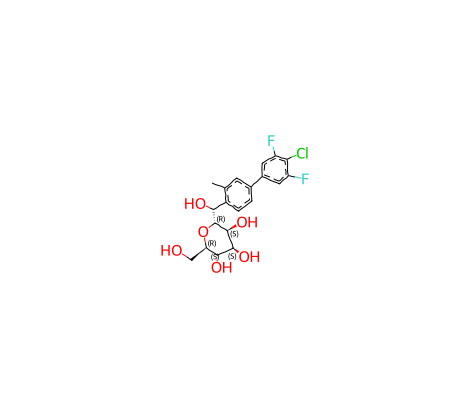 Cc1cc(-c2cc(F)c(Cl)c(F)c2)ccc1C(O)[C@H]1O[C@H](CO)[C@@H](O)[C@H](O)[C@@H]1O